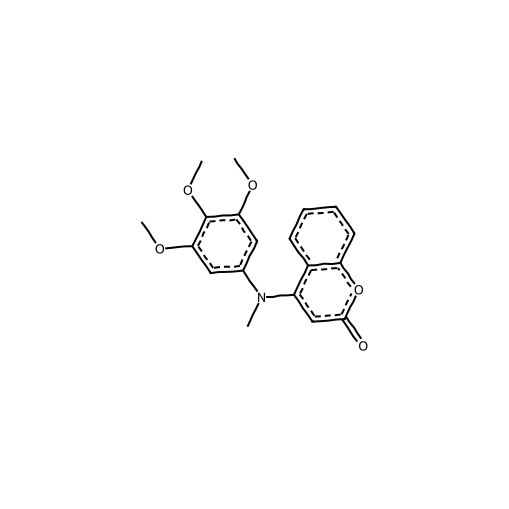 COc1cc(N(C)c2cc(=O)oc3ccccc23)cc(OC)c1OC